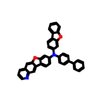 c1ccc(-c2ccc(N(c3ccc4c(c3)oc3ccccc34)c3ccc4c(c3)oc3cc5cccnc5cc34)cc2)cc1